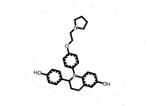 Oc1ccc(C2CCc3cc(O)ccc3N2c2ccc(OCCN3CCCC3)cc2)cc1